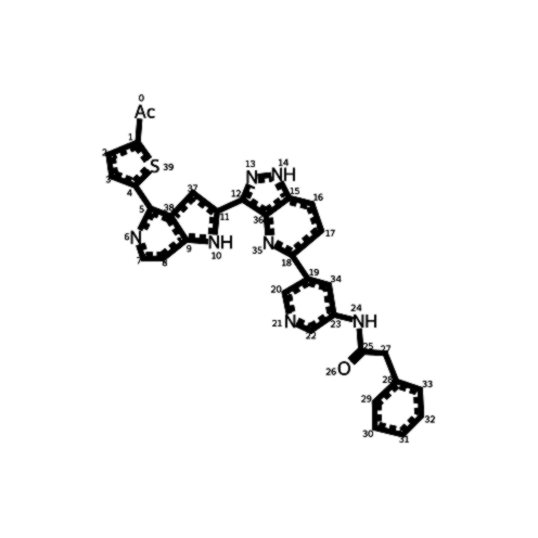 CC(=O)c1ccc(-c2nccc3[nH]c(-c4n[nH]c5ccc(-c6cncc(NC(=O)Cc7ccccc7)c6)nc45)cc23)s1